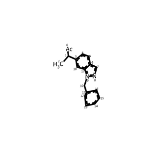 CC(=O)C(C)c1ccc2cnn(Cc3ccccc3)c2c1